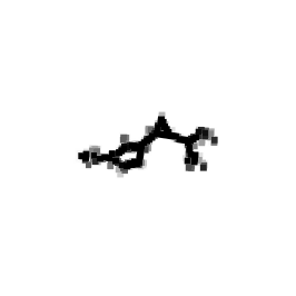 CC(C)C1CC1c1cnn(C)c1